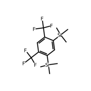 C[Si](C)(C)c1cc([Si](C)(C)C)c(C(F)(F)F)cc1C(F)(F)F